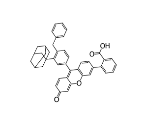 O=C(O)c1ccccc1-c1ccc2c(-c3ccc(Cc4ccccc4)c(C45CC6CC(CC(C6)C4)C5)c3)c3ccc(=O)cc-3oc2c1